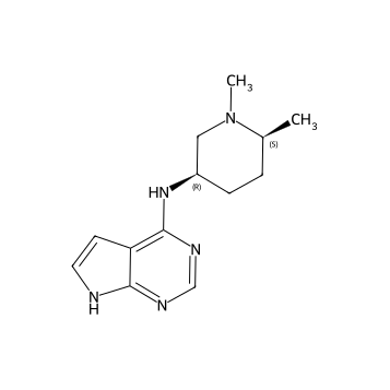 C[C@H]1CC[C@@H](Nc2ncnc3[nH]ccc23)CN1C